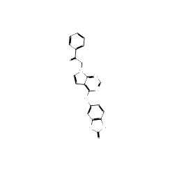 O=C(Cn1ccc2c(Nc3ccc4[nH]c(=O)[nH]c4c3)ncnc21)c1ccccc1